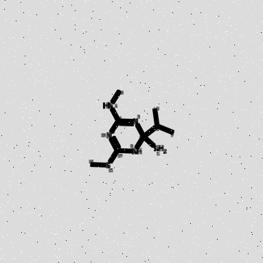 CNC1=NC(N)(C(C)C)NC(SC)=N1